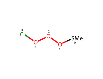 CSOOOCl